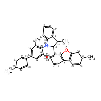 CCc1ccc2c3c(oc2c1C1C(C)c2ccccc2N1c1c(C(C)C)cc(C2=CCC(C)C=C2)cc1C(C)C)CC(C)C=C3